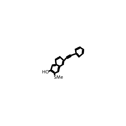 CSc1cc2cc(C#Cc3ccccc3)ccc2cc1O